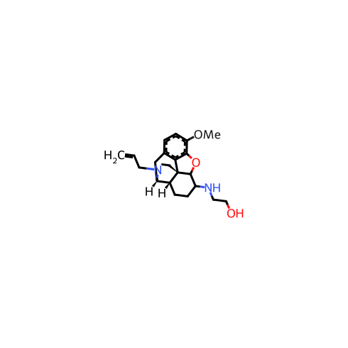 C=CCN1CC[C@@]23c4c5ccc(OC)c4OC2C(NCCO)CC[C@@H]3[C@@H]1C5